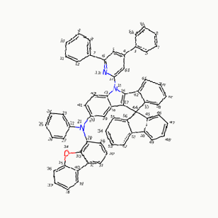 c1ccc(-c2cc(-c3ccccc3)nc(-n3c4c(c5cc(N(c6ccccc6)c6cccc7c6oc6ccccc67)ccc53)C3(c5ccccc5-c5ccccc53)c3ccccc3-4)c2)cc1